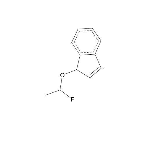 CC(F)OC1C=[C]c2ccccc21